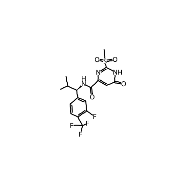 CC(C)[C@@H](NC(=O)c1cc(=O)[nH]c(S(C)(=O)=O)n1)c1ccc(C(F)(F)F)c(F)c1